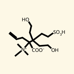 C=CCC(C(=O)[O-])(C(CCO)(CCO)CCS(=O)(=O)O)[N+](C)(C)C